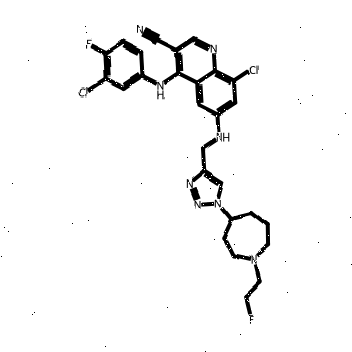 N#Cc1cnc2c(Cl)cc(NCc3cn(C4CCCN(CCF)CC4)nn3)cc2c1Nc1ccc(F)c(Cl)c1